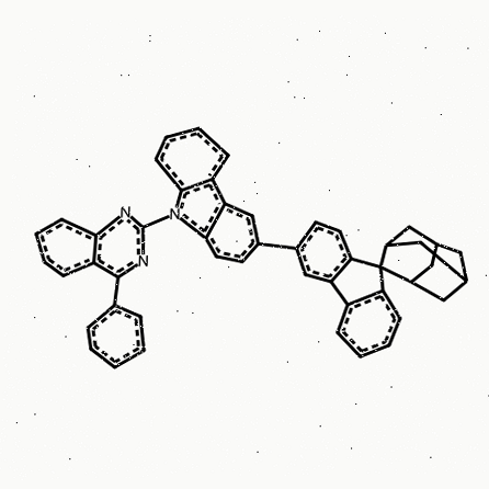 c1ccc(-c2nc(-n3c4ccccc4c4cc(-c5ccc6c(c5)-c5ccccc5C65C6CC7CC(C6)CC5C7)ccc43)nc3ccccc23)cc1